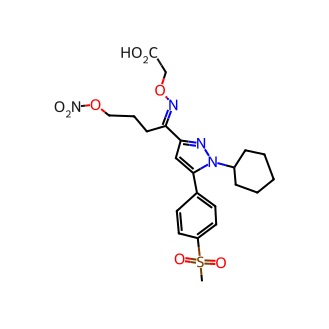 CS(=O)(=O)c1ccc(-c2cc(/C(CCCO[N+](=O)[O-])=N/OCC(=O)O)nn2C2CCCCC2)cc1